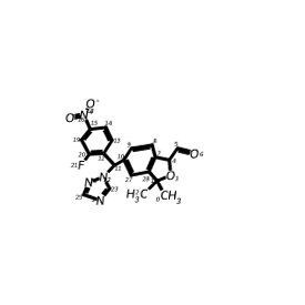 CC1(C)OC(C=O)c2ccc(C(c3ccc([N+](=O)[O-])cc3F)n3cncn3)cc21